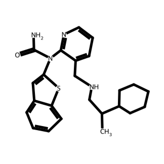 CC(CNCc1cccnc1N(C(N)=O)c1cc2ccccc2s1)C1CCCCC1